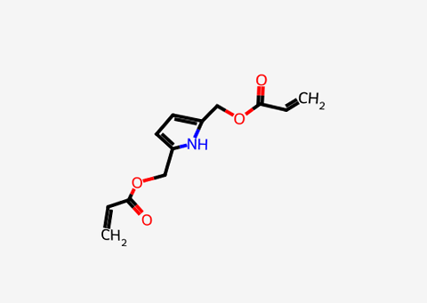 C=CC(=O)OCc1ccc(COC(=O)C=C)[nH]1